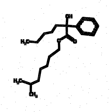 CCCCCC(O)(C(=O)OCCCCCC(C)C)c1ccccc1